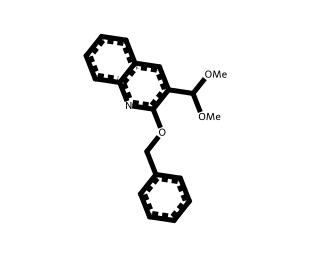 COC(OC)c1cc2ccccc2nc1OCc1ccccc1